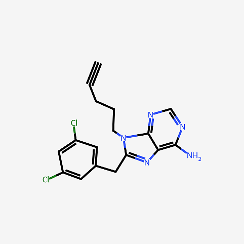 C#CCCCn1c(Cc2cc(Cl)cc(Cl)c2)nc2c(N)ncnc21